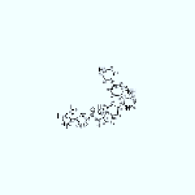 CC(C)(C)c1noc(C(=O)N[C@]2(C)CCc3cc(-c4ncnc5[nH]c6cc(N7CCNCC7)ccc6c45)ccc32)n1